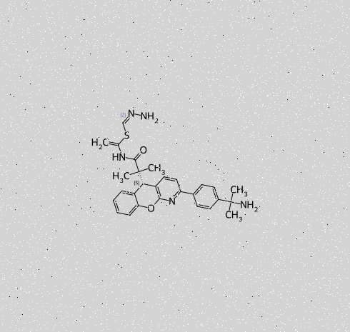 C=C(NC(=O)C(C)(C)[C@H]1c2ccccc2Oc2nc(-c3ccc(C(C)(C)N)cc3)ccc21)S/C=N\N